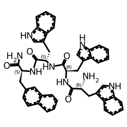 NC(=O)[C@H](Cc1ccc2ccccc2c1)NC(=O)[C@H](Cc1c[nH]c2ccccc12)NC(=O)[C@@H](Cc1c[nH]c2ccccc12)NC(=O)[C@H](N)Cc1c[nH]c2ccccc12